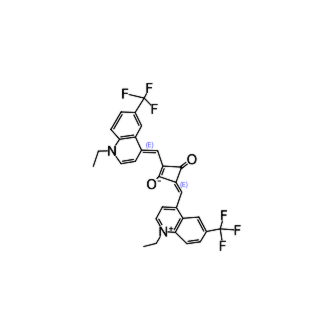 CCN1C=C/C(=C\C2=C([O-])C(=C\c3cc[n+](CC)c4ccc(C(F)(F)F)cc34)/C2=O)c2cc(C(F)(F)F)ccc21